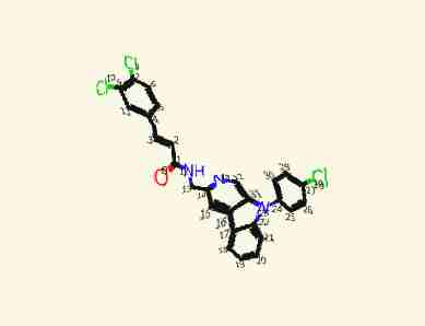 O=C(/C=C/c1ccc(Cl)c(Cl)c1)NCc1cc2c3ccccc3n(-c3ccc(Cl)cc3)c2cn1